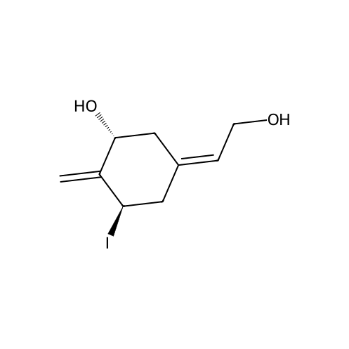 C=C1[C@H](O)C/C(=C\CO)C[C@H]1I